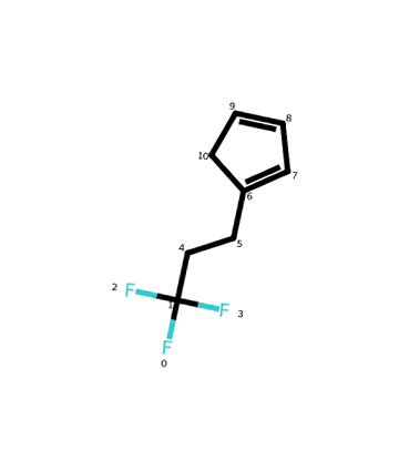 FC(F)(F)CCC1=CC=CC1